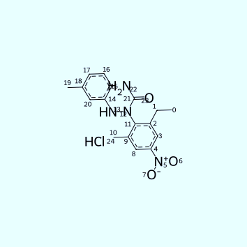 CCc1cc([N+](=O)[O-])cc(C)c1N(Nc1cccc(C)c1)C(N)=O.Cl